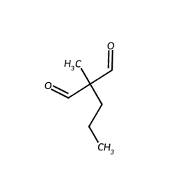 CCCC(C)(C=O)C=O